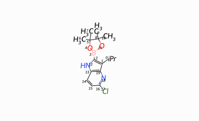 CC(C)c1c(B2OC(C)(C)C(C)(C)O2)[nH]c2ccc(Cl)nc12